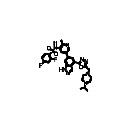 Cc1ncc(-c2cc(-c3nnc(CN4CCN(C(C)C)CC4)o3)c3cn[nH]c3c2)cc1NS(=O)(=O)c1ccc(F)cc1F